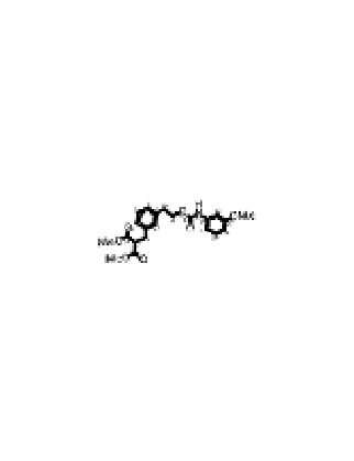 COC(=O)C(Cc1cccc(CCOC(=O)Nc2cccc(OC)c2)c1)C(=O)OC